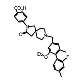 CCOc1cc(CN2CCC3(CC2)CC(=O)N(c2ccc(C(=O)O)cc2)C3)cc(C)c1-c1ccc(C)cc1F